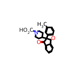 Cc1cccc(C2(C3CCN(C(=O)O)CC3)C(=O)c3ccccc3C2=O)c1